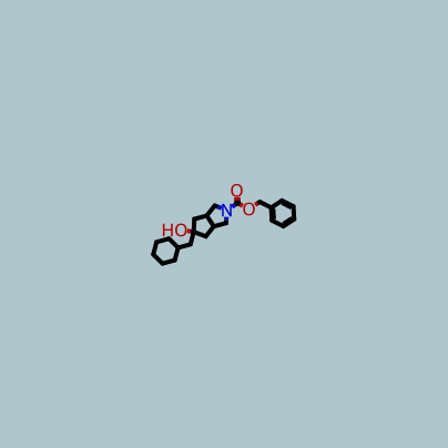 O=C(OCc1ccccc1)N1CC2CC(O)(CC3CCCCC3)CC2C1